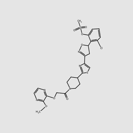 COc1nccnc1OCC(=O)N1CCC(c2nc(C3=NOC(c4c(Cl)cccc4OS(C)(=O)=O)C3)cs2)CC1